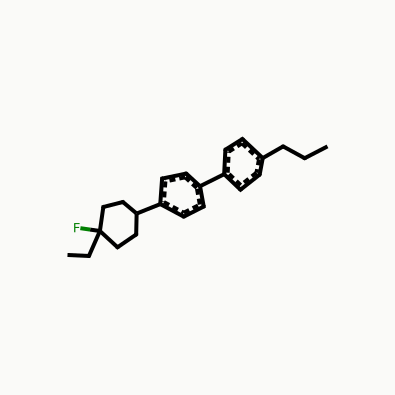 CCCc1ccc(-c2ccc(C3CCC(F)(CC)CC3)cc2)cc1